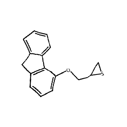 c1ccc2c(c1)Cc1cccc(OCC3CS3)c1-2